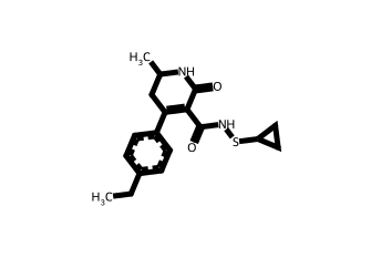 CCc1ccc(C2=C(C(=O)NSC3CC3)C(=O)NC(C)C2)cc1